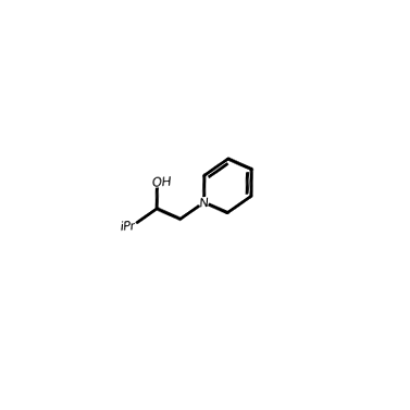 CC(C)C(O)CN1C=CC=CC1